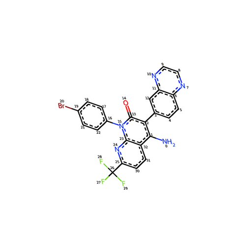 Nc1c(-c2ccc3nccnc3c2)c(=O)n(-c2ccc(Br)cc2)c2nc(C(F)(F)F)ccc12